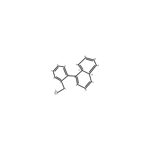 ClCc1ccccc1-c1cccc2ccccc12